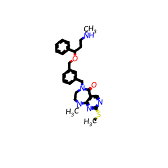 CNCCC(OCc1cccc(CN2CCN(C)c3nc(SC)ncc3C2=O)c1)c1ccccc1